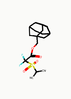 N#CC(C#N)S(=O)(=O)C(F)(F)C(=O)OCC12CC3CC(CC(C3)C1)C2